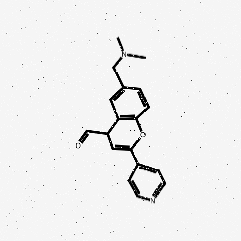 CN(C)Cc1ccc2c(c1)C(C=O)C=C(c1ccncc1)O2